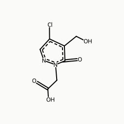 O=C(O)Cn1ncc(Cl)c(CO)c1=O